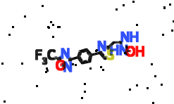 N=C(Cc1nc(-c2ccc(-c3noc(C(F)(F)F)n3)cc2)cs1)NO